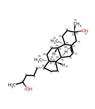 CC(O)CCC[C@H]1CC[C@H]2[C@@H]3CC=C4C[C@@](C)(O)CC[C@]4(C)[C@H]3CC[C@]12C